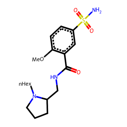 CCCCCCN1CCCC1CNC(=O)c1cc(S(N)(=O)=O)ccc1OC